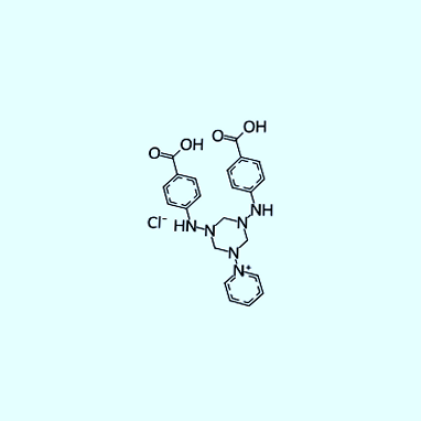 O=C(O)c1ccc(NN2CN(Nc3ccc(C(=O)O)cc3)CN([n+]3ccccc3)C2)cc1.[Cl-]